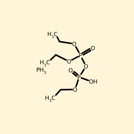 CCOP(=O)(O)OP(=O)(OCC)OCC.P